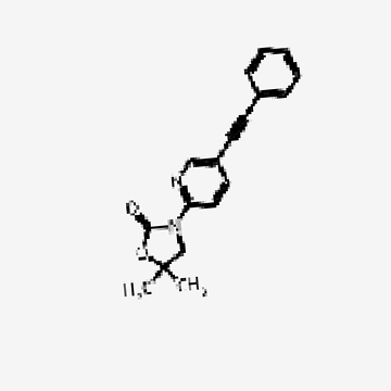 CC1(C)CN(c2ccc(C#Cc3ccccc3)cn2)C(=O)O1